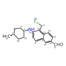 C[C@H]1CC[C@@H](Nc2ccc3cc(C=O)ccc3c2CF)CC1